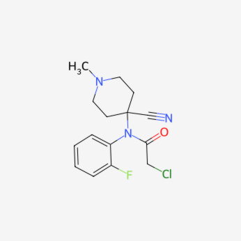 CN1CCC(C#N)(N(C(=O)CCl)c2ccccc2F)CC1